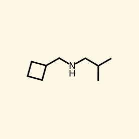 CC(C)CNCC1CCC1